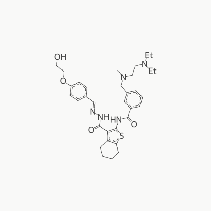 CCN(CC)CCN(C)Cc1cccc(C(=O)Nc2sc3c(c2C(=O)NN=Cc2ccc(OCCO)cc2)CCCC3)c1